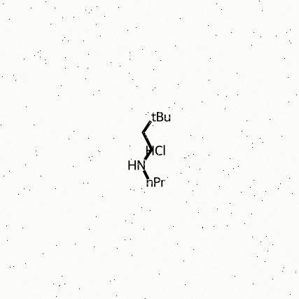 CCCNCCC(C)(C)C.Cl